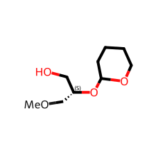 COC[C@H](CO)OC1CCCCO1